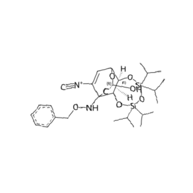 [C-]#[N+]C1=CC2O[C@@H](O)CC1(NOCc1ccccc1)C1O[Si](C(C)C)(C(C)C)O[Si](C(C)C)(C(C)C)O[C@H]21